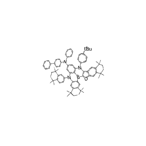 CC(C)(C)c1ccc(N2c3cc(N(c4ccccc4)c4ccc(-c5ccccc5)cc4)cc4c3B(c3cc5c(cc3N4c3ccc4c(c3)C(C)(C)CCC4(C)C)C(C)(C)CCC5(C)C)c3oc4cc5c(cc4c32)C(C)(C)CCC5(C)C)cc1